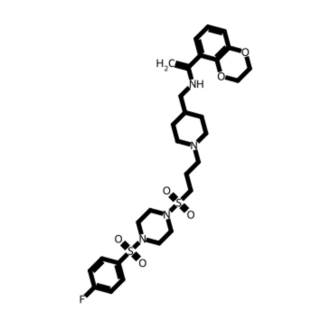 C=C(NCC1CCN(CCCS(=O)(=O)N2CCN(S(=O)(=O)c3ccc(F)cc3)CC2)CC1)c1cccc2c1OCCO2